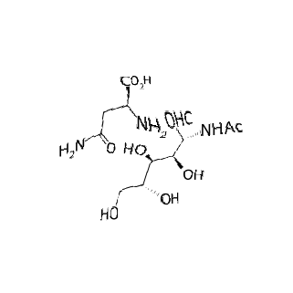 CC(=O)N[C@@H](C=O)[C@@H](O)[C@H](O)[C@H](O)CO.NC(=O)C[C@H](N)C(=O)O